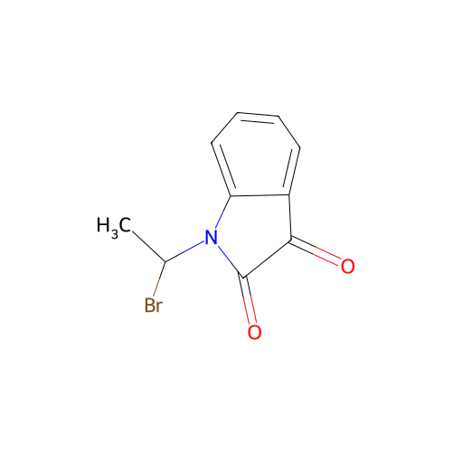 CC(Br)N1C(=O)C(=O)c2ccccc21